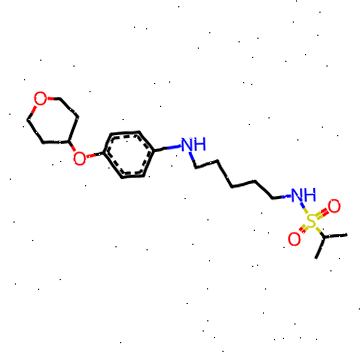 CC(C)S(=O)(=O)NCCCCCNc1ccc(OC2CCOCC2)cc1